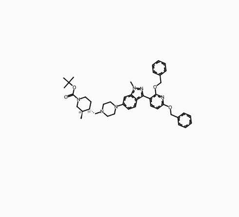 C[C@H]1CN(C(=O)OC(C)(C)C)CC[C@@H]1CN1CCN(c2ccc3c(-c4ccc(OCc5ccccc5)nc4OCc4ccccc4)nn(C)c3c2)CC1